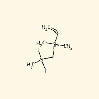 C=C[Si](C)(C)C[Si](C)(I)I